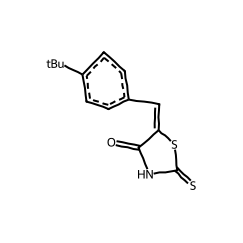 CC(C)(C)c1ccc(C=C2SC(=S)NC2=O)cc1